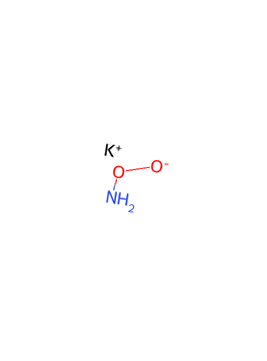 NO[O-].[K+]